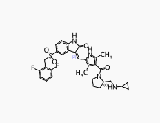 Cc1[nH]c(/C=C2\C(=O)Nc3ccc(S(=O)(=O)Cc4c(F)cccc4F)cc32)c(C)c1C(=O)N1CCC[C@@H]1CNC1CC1